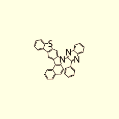 c1ccc(-c2nc3ccccc3nc2-n2c3cc4sc5ccccc5c4cc3c3c4ccccc4ccc32)cc1